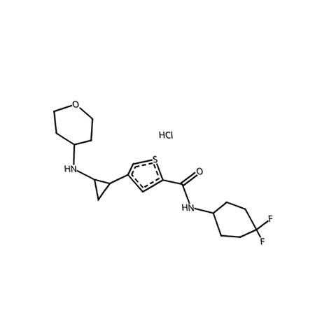 Cl.O=C(NC1CCC(F)(F)CC1)c1cc(C2CC2NC2CCOCC2)cs1